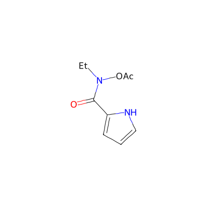 CCN(OC(C)=O)C(=O)c1ccc[nH]1